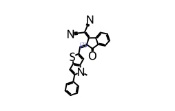 Cn1c(-c2ccccc2)cc2sc(/C=C3\C(=O)c4ccccc4C3=C(C#N)C#N)cc21